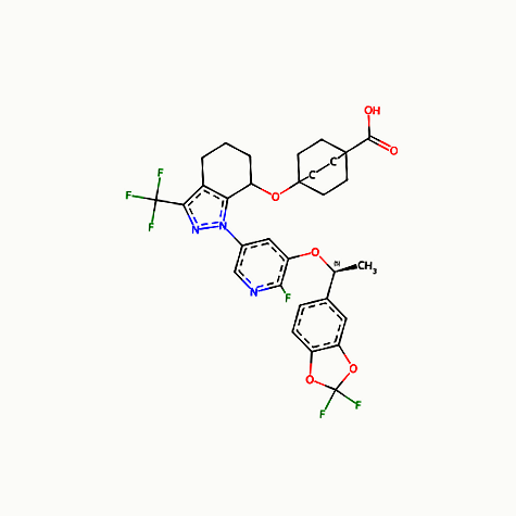 C[C@H](Oc1cc(-n2nc(C(F)(F)F)c3c2C(OC24CCC(C(=O)O)(CC2)CC4)CCC3)cnc1F)c1ccc2c(c1)OC(F)(F)O2